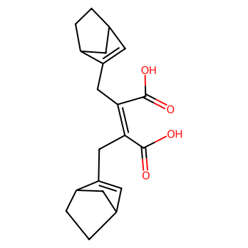 O=C(O)/C(CC1=CC2CCC1C2)=C(/CC1=CC2CCC1C2)C(=O)O